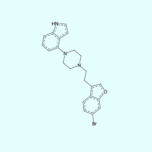 Brc1ccc2c(CCN3CCN(c4cccc5[nH]ccc45)CC3)coc2c1